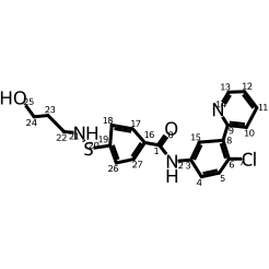 O=C(Nc1ccc(Cl)c(-c2ccccn2)c1)c1ccc(SNCCCO)cc1